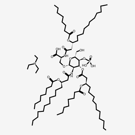 CCCCCCCCCCC[C@H](CC(=O)N[C@H]1[C@H](OC[C@H](NC(=O)C[C@@H](CCCCCCCCCCC)OC(=O)CCCCCCC)C(=O)O)O[C@H](CO)[C@@H](OP(=O)(O)O)[C@@H]1OC(=O)C[C@@H](CCCCCCCCCCC)OC(=O)CCCCCCC)OC(=O)CCCCCCC.CCN(CC)CC